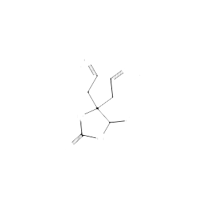 C=CCC1(CC=C)OC(=O)OC1C